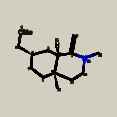 C=C1[C@@H]2C[C@@H](COC)CC[C@]2(C)CCN1C